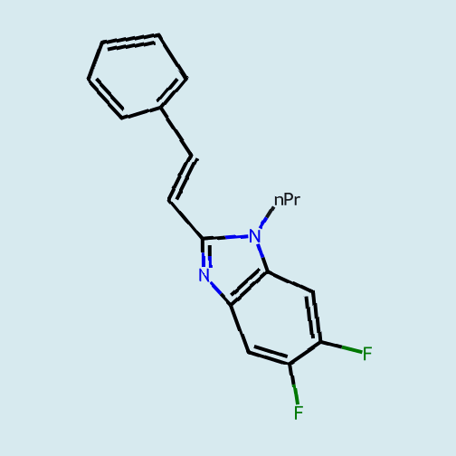 CCCn1c(/C=C/c2ccccc2)nc2cc(F)c(F)cc21